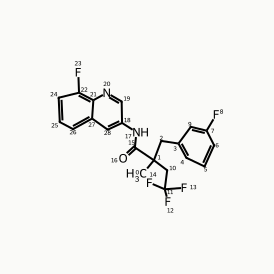 CC(Cc1cccc(F)c1)(CC(F)(F)F)C(=O)Nc1cnc2c(F)cccc2c1